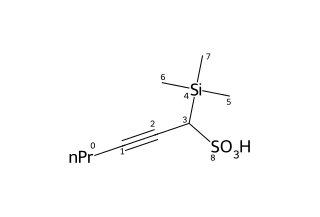 CCCC#CC([Si](C)(C)C)S(=O)(=O)O